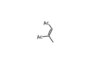 CC(=O)/C=C(/C)C(C)=O